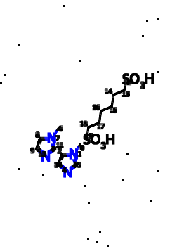 Cn1ccnc1.Cn1ccnc1.O=S(=O)(O)CCCCCCS(=O)(=O)O